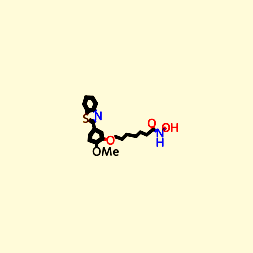 COc1ccc(-c2nc3ccccc3s2)cc1OCCCCCCC(=O)NO